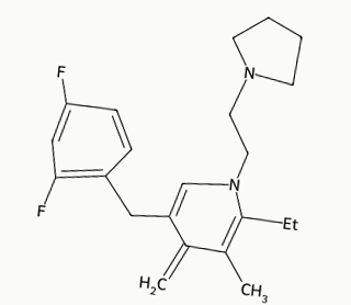 C=C1C(Cc2ccc(F)cc2F)=CN(CCN2CCCC2)C(CC)=C1C